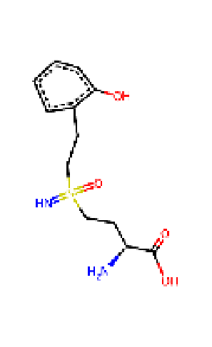 N=S(=O)(CCc1ccccc1O)CC[C@H](N)C(=O)O